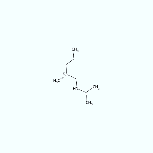 CCC[C@@H](C)CNC(C)C